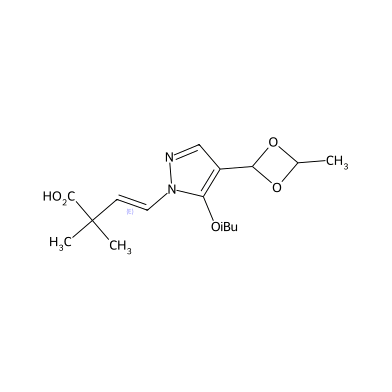 CC(C)COc1c(C2OC(C)O2)cnn1/C=C/C(C)(C)C(=O)O